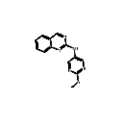 COc1ncc(Nc2ncc3ccccc3n2)cn1